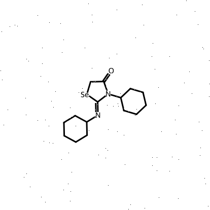 O=C1C[Se]C(=NC2CCCCC2)N1C1CCCCC1